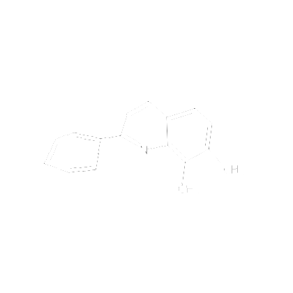 Cc1ccc2ccc(-c3ccccc3)nc2c1C